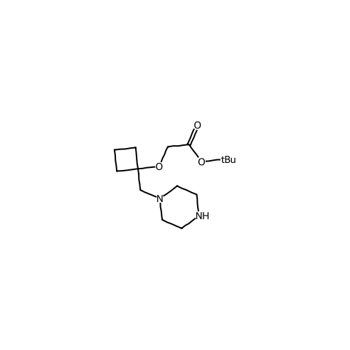 CC(C)(C)OC(=O)COC1(CN2CCNCC2)CCC1